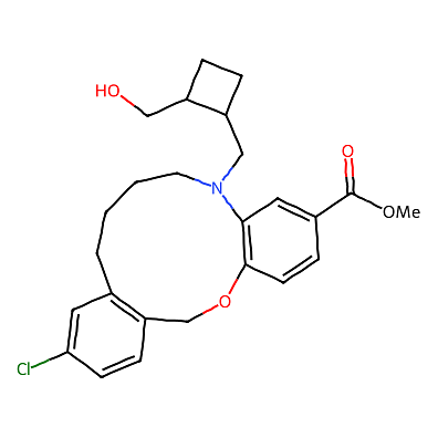 COC(=O)c1ccc2c(c1)N(CC1CCC1CO)CCCCc1cc(Cl)ccc1CO2